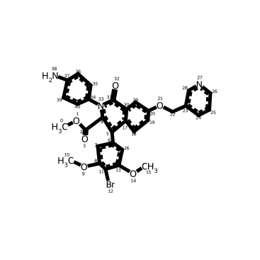 COC(=O)c1c(-c2cc(OC)c(Br)c(OC)c2)c2ccc(OCc3cccnc3)cc2c(=O)n1-c1ccc(N)cc1